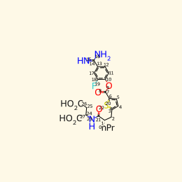 CCC[C@@H](Cc1ccc(C(=O)Oc2ccc(C(=N)N)cc2F)s1)C(=O)N[C@@H](CC(=O)O)C(=O)O